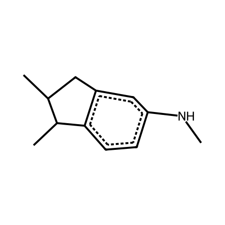 CNc1ccc2c(c1)CC(C)C2C